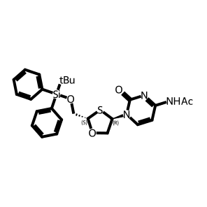 CC(=O)Nc1ccn([C@H]2CO[C@H](CO[Si](c3ccccc3)(c3ccccc3)C(C)(C)C)S2)c(=O)n1